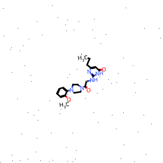 CCCc1cc(=O)[nH]c(NCC(=O)N2CCN(c3ccccc3OC)CC2)n1